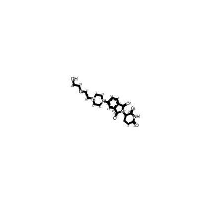 O=C1CCC(N2C(=O)c3ccc(N4CCN(CCOCCO)CC4)cc3C2=O)C(=O)N1